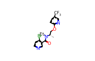 CCN(C(=O)c1cnccc1Br)[C@@H](C)COc1ccc(C(F)(F)F)cn1